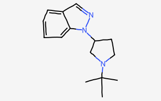 CC(C)(C)N1CCC(n2ncc3ccccc32)C1